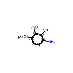 CCc1c(N)ccc(OC)c1[N+](=O)[O-]